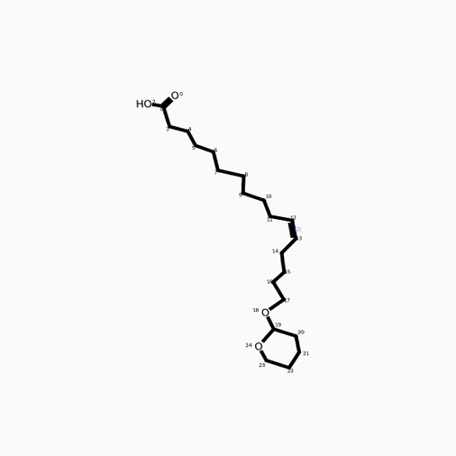 O=C(O)CCCCCCCCC/C=C\CCCCOC1CCCCO1